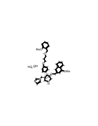 COc1ccccc1COCCCOc1ccc([C@H]2[C@H](Cn3ccnc3)CNC[C@@H]2OCc2cc(OC)c3ccccc3c2)cc1.Cl.Cl